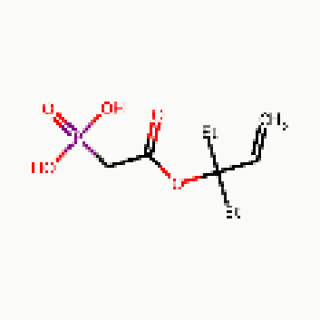 C=CC(CC)(CC)OC(=O)CP(=O)(O)O